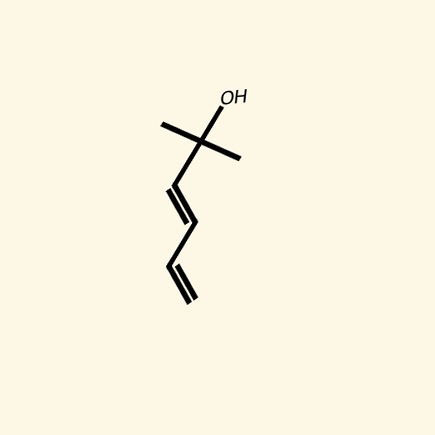 C=CC=CC(C)(C)O